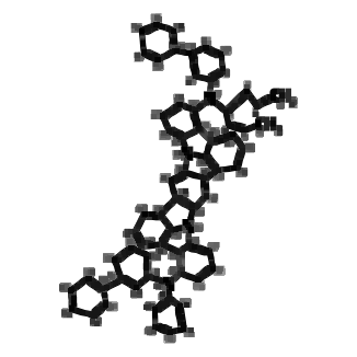 C=C/C=C(\C=C/C)N(c1cccc(-c2ccccc2)c1)c1cccc2c1c1cccc3c4cc5c(cc4n2c31)c1cccc2c3c(N(c4ccccc4)c4cccc(-c6ccccc6)c4)cccc3n5c12